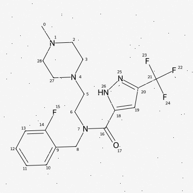 CN1CCN(CCN(Cc2ccccc2F)C(=O)c2cc(C(F)(F)F)n[nH]2)CC1